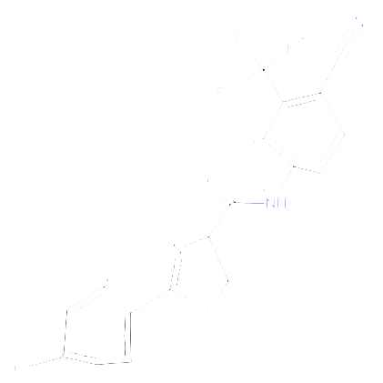 N#Cc1ccc(NC(=O)C2CSC(c3ccc(Cl)cc3)=N2)cc1C(F)(F)F